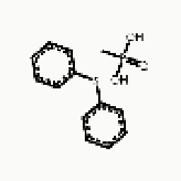 CP(=O)(O)O.c1ccc(Sc2ccccc2)cc1